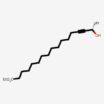 CCC[C@H](O)C#CCCCCCCCCCCCCC(=O)OCC